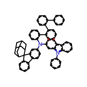 c1ccc(-c2ccccc2-c2ccccc2-c2ccccc2N(c2ccc3c(c2)C2(c4ccccc4-3)C3CC4CC(C3)CC2C4)c2ccc3c4ccccc4n(-c4ccccc4)c3c2)cc1